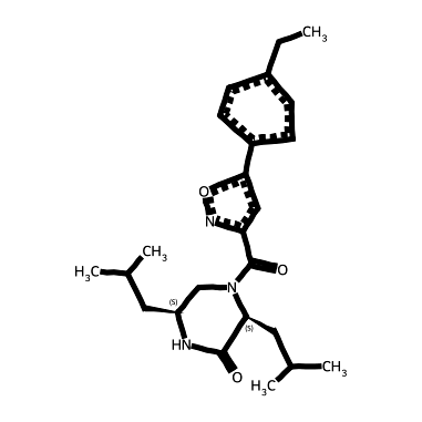 CCc1ccc(-c2cc(C(=O)N3C[C@H](CC(C)C)NC(=O)[C@@H]3CC(C)C)no2)cc1